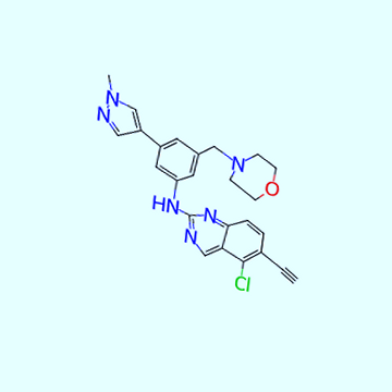 C#Cc1ccc2nc(Nc3cc(CN4CCOCC4)cc(-c4cnn(C)c4)c3)ncc2c1Cl